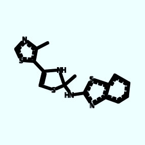 Cc1ncsc1C1=CSC(C)(Nc2nc3ccccc3s2)N1